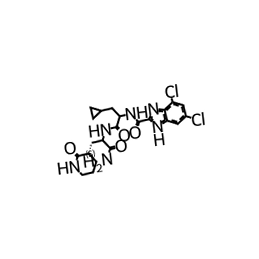 NC(=O)C(C[C@@H]1CCCNC1=O)NC(=O)C(CC1CC1)NC(=O)c1nc2c(Cl)cc(Cl)cc2[nH]1